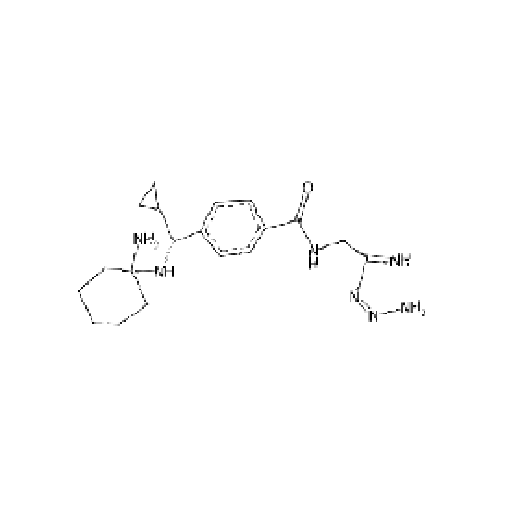 N=C(CNC(=O)c1ccc([C@H](NC2(N)CCCCC2)C2CC2)cc1)/N=N\N